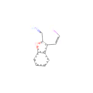 N=Cc1oc2ccccc2c1/C=C\I